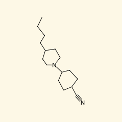 CCCCC1CCN(C2CCC(C#N)CC2)CC1